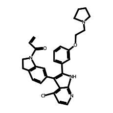 C=CC(=O)N1CCc2ccc(-c3c(-c4cccc(OCCN5CCCC5)c4)[nH]c4nccc(Cl)c34)cc21